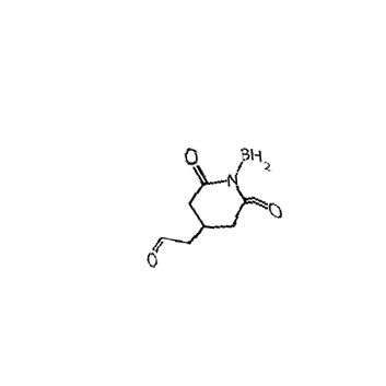 BN1C(=O)CC(CC=O)CC1=O